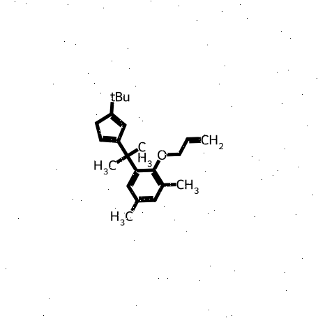 C=CCOc1c(C)cc(C)cc1C(C)(C)C1=CCC(C(C)(C)C)=C1